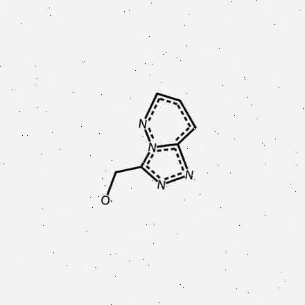 [O]Cc1nnc2cccnn12